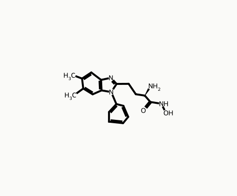 Cc1cc2nc(CC[C@@H](N)C(=O)NO)n(-c3ccccc3)c2cc1C